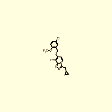 FC(F)(F)Oc1ccc(Cl)cc1COc1ccn2c(CC3CC3)nnc2c1Cl